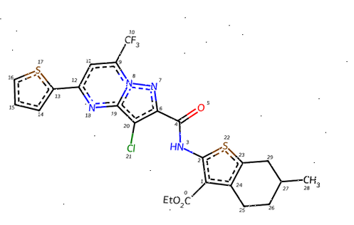 CCOC(=O)c1c(NC(=O)c2nn3c(C(F)(F)F)cc(-c4cccs4)nc3c2Cl)sc2c1CCC(C)C2